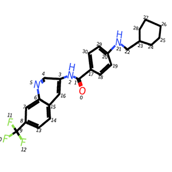 O=C(Nc1cnc2cc(C(F)(F)F)ccc2c1)c1ccc(NCC2CCCCC2)cc1